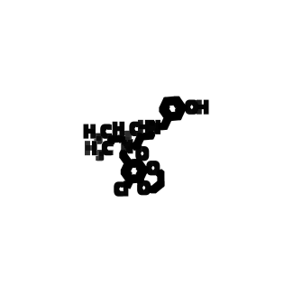 CC(C)CN(Cc1cc(Cl)c2c(c1)OCCCO2)C(=O)[C@H](C)CNCc1cccc(O)c1